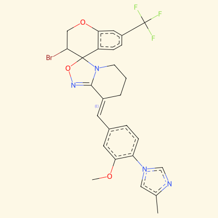 COc1cc(/C=C2\CCCN3C2=NOC32c3ccc(C(F)(F)F)cc3OCC2Br)ccc1-n1cnc(C)c1